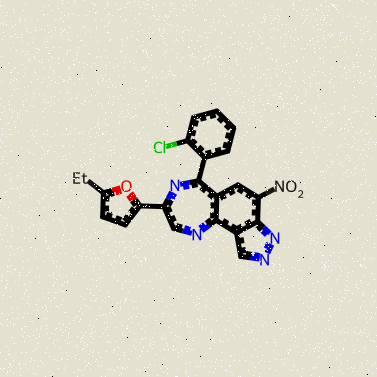 CCc1ccc(-c2cnc3c(cc([N+](=O)[O-])c4nncc43)c(-c3ccccc3Cl)n2)o1